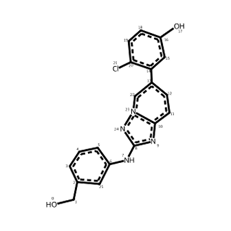 OCc1cccc(Nc2nc3ccc(-c4cc(O)ccc4Cl)cn3n2)c1